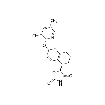 O=C1NC(=O)C([C@@H]2CCCC3=C2C=CC(OC2N=CC(C(F)(F)F)=CC2Cl)C3)O1